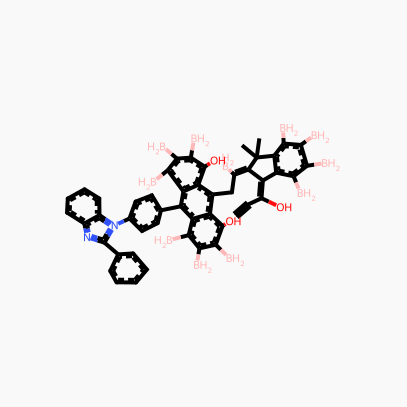 B/C(Cc1c2c(O)c(B)c(B)c(B)c2c(-c2ccc(-n3c(-c4ccccc4)nc4ccccc43)cc2)c2c(B)c(B)c(B)c(O)c12)=C1/C(=C(/O)C#C)c2c(B)c(B)c(B)c(B)c2C1(C)C